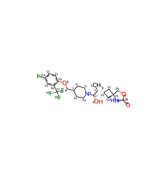 CC(C(O)N1CCC(COc2ccc(F)cc2C(F)(F)F)CC1)[C@H]1C[C@]2(COC(=O)N2)C1